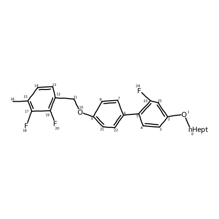 CCCCCCCOc1ccc(-c2ccc(OCc3ccc(C)c(F)c3F)cc2)c(F)c1